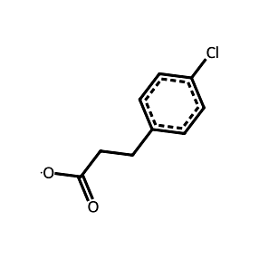 [O]C(=O)CCc1ccc(Cl)cc1